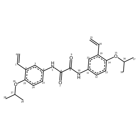 C=Cc1cc(NC(=O)C(=O)Nc2ccc(OC(C)C)c(C=C)c2)ccc1OC(C)C